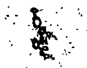 COC(=O)c1ccncc1Nc1cn([C@H]2CCCN(C3CCC3)CC2)nc1C